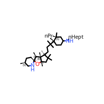 CCCCCCCNC1CC[C@](C)(C(C)(C)CC[C@@]2(C)C(C)(C)C[C@]3(C)O[C@@]4(CC[C@H](C)CN4)[C@@H](C)[C@]23C)[C@@](C)(CCC)C1